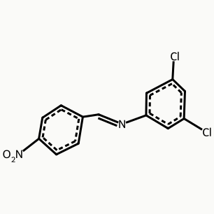 O=[N+]([O-])c1ccc(C=Nc2cc(Cl)cc(Cl)c2)cc1